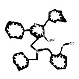 CCCCn1c(-c2ccccc2)nc(-c2ccccc2)c1CN(Cc1ccccc1)Cc1ccccc1OCC